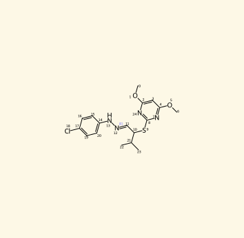 COc1cc(OC)nc(SC(/C=N/Nc2ccc(Cl)cc2)C(C)C)n1